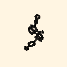 O=C(Nc1nccc(-c2ccnc3[nH]c(-c4ccc(C5COC5)cc4)cc23)c1CO)n1cc2ccccc2c1